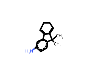 CC1(C)C2=CCCC=C2c2cc(N)ccc21